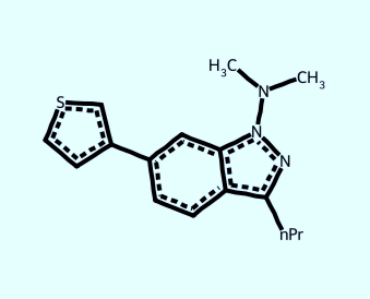 CCCc1nn(N(C)C)c2cc(-c3ccsc3)ccc12